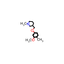 COc1cc(OCC2CCCN(C)C2)ccc1C